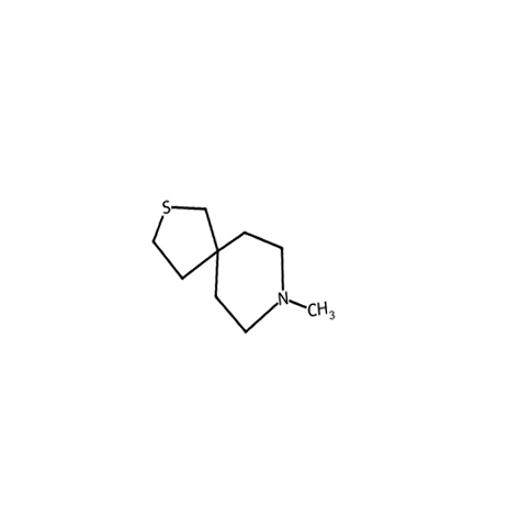 CN1CCC2(CCSC2)CC1